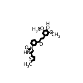 COc1cc(C=CC(=O)c2cccc(-n3cc(-c4ccc(C)s4)[nH]c3=O)c2)cc(OC)c1O